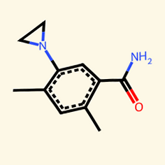 Cc1cc(C)c(N2CC2)cc1C(N)=O